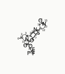 C[C@H]1CC[C@H](c2ccc3sc(C4CCN(C)C(=O)C4)nc3c2)N(C(=O)C(=O)OCC(F)(F)F)C1